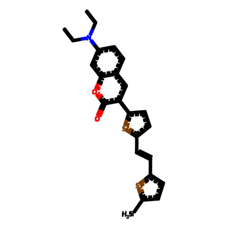 CCN(CC)c1ccc2cc(-c3ccc(/C=C/c4ccc([SiH3])s4)s3)c(=O)oc2c1